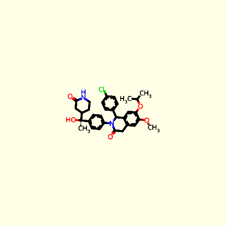 COc1cc2c(cc1OC(C)C)C(c1ccc(Cl)cc1)N(c1ccc([C@@](C)(O)C3CCNC(=O)C3)cc1)C(=O)C2